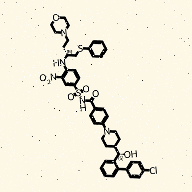 O=C(NS(=O)(=O)c1ccc(N[C@H](CCN2CCOCC2)CSc2ccccc2)c([N+](=O)[O-])c1)c1ccc(N2CCC([C@H](O)c3ccccc3-c3ccc(Cl)cc3)CC2)cc1